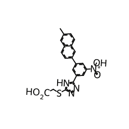 Cc1ccc2cc(-c3cc(-c4nnc(SCC(=O)O)[nH]4)cc([N+](=O)O)c3)ccc2c1